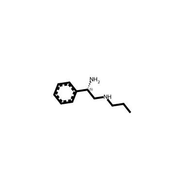 CCCNC[C@@H](N)c1ccccc1